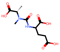 C[C@@H](C(=O)O)N(C)C(=O)NC(CCC(=O)O)C(=O)O